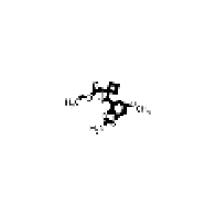 CCOC1OC1C1(C(O)c2cc(OC)cc3sc(N)nc23)CCC1